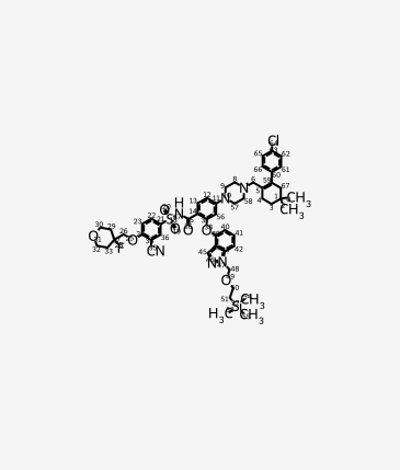 CC1(C)CCC(CN2CCN(c3ccc(C(=O)NS(=O)(=O)c4ccc(OCC5(F)CCOCC5)c(C#N)c4)c(Oc4cccc5c4cnn5COCC[Si](C)(C)C)c3)CC2)=C(c2ccc(Cl)cc2)C1